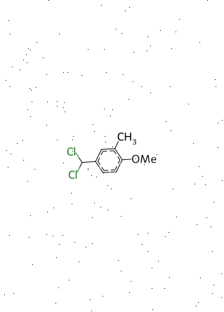 COc1ccc(C(Cl)Cl)cc1C